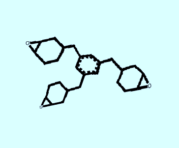 c1c(CC2CCC3OC3C2)cc(CC2CCC3OC3C2)cc1CC1CCC2OC2C1